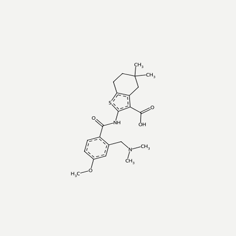 COc1ccc(C(=O)Nc2sc3c(c2C(=O)O)CC(C)(C)CC3)c(CN(C)C)c1